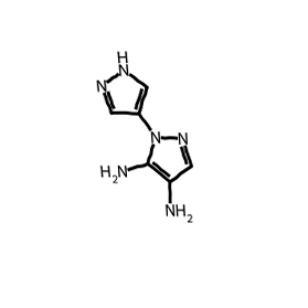 Nc1cnn(-c2cn[nH]c2)c1N